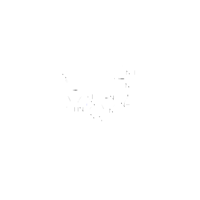 CNC(=O)N1CCC[C@@H](Nc2ncc(/N=C(\N)Nc3c(Cl)cc(C#N)cc3Cl)c(CC3CCCCC3)n2)C1